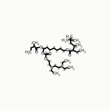 CCC(C)C(=O)OC(CCCCCCOC(=O)C(CC)C(C)CC(C)(C)C)OC(=O)OCCN(CC)CCN(CC)CC